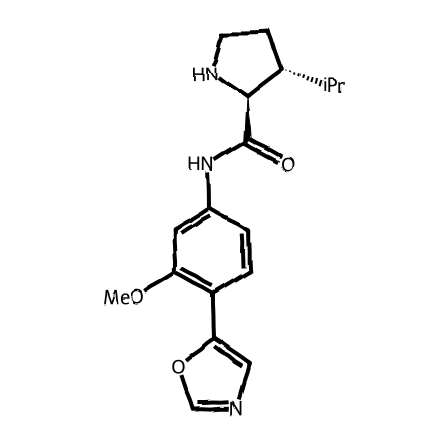 COc1cc(NC(=O)[C@H]2NCC[C@@H]2C(C)C)ccc1-c1cnco1